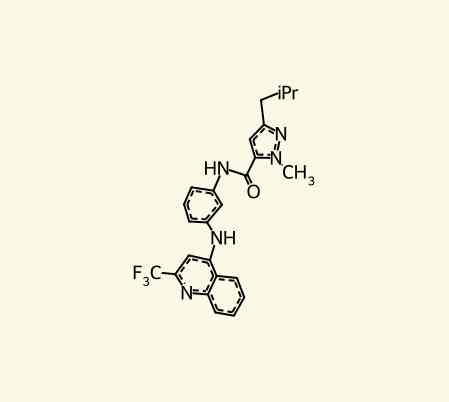 CC(C)Cc1cc(C(=O)Nc2cccc(Nc3cc(C(F)(F)F)nc4ccccc34)c2)n(C)n1